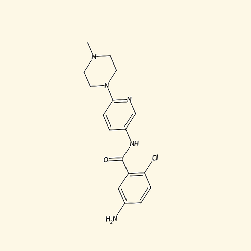 CN1CCN(c2ccc(NC(=O)c3cc(N)ccc3Cl)cn2)CC1